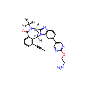 [2H]C([2H])([2H])N1C(=O)c2cccc(C#CC)c2[C@H]2C[C@@H]1c1nc3ccc(-c4cnc(OCCN)nc4)cc3n12